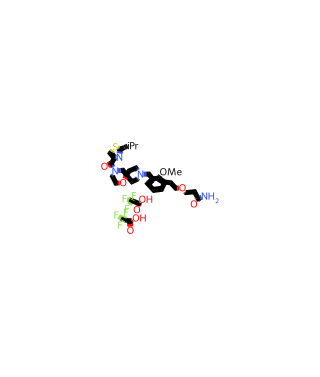 COc1c(CCOCCC(N)=O)cccc1CN1CCC2(CC1)CN(C(=O)c1csc(C(C)C)n1)CCO2.O=C(O)C(F)(F)F.O=C(O)C(F)(F)F